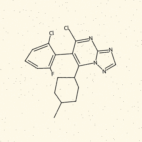 CC1CCC(c2c(-c3c(F)cccc3Cl)c(Cl)nc3ncnn23)CC1